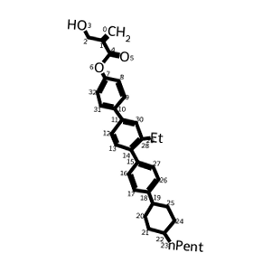 C=C(CO)C(=O)Oc1ccc(-c2ccc(-c3ccc(C4CCC(CCCCC)CC4)cc3)c(CC)c2)cc1